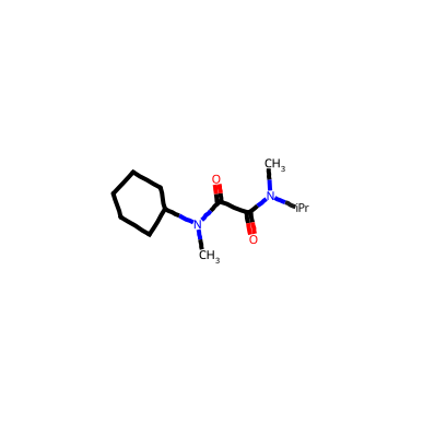 CC(C)N(C)C(=O)C(=O)N(C)C1CCCCC1